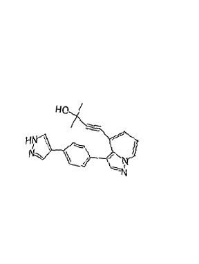 CC(C)(O)C#Cc1cccn2ncc(-c3ccc(-c4cn[nH]c4)cc3)c12